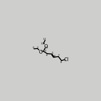 CCOC(C/C=C/CCCl)OCC